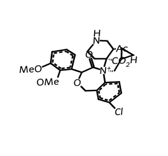 COc1cccc(C2OCc3cc(Cl)ccc3[N@+](CC3CC3)([C@@]3(C(=O)O)CCNC[C@@H]3C(C)=O)C2=O)c1OC